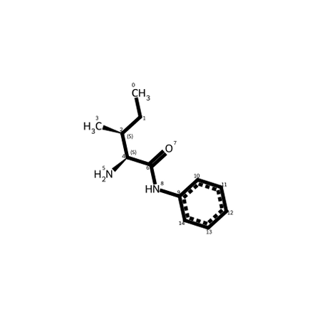 CC[C@H](C)[C@H](N)C(=O)Nc1ccccc1